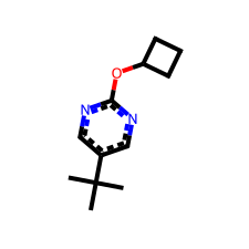 CC(C)(C)c1cnc(OC2CCC2)nc1